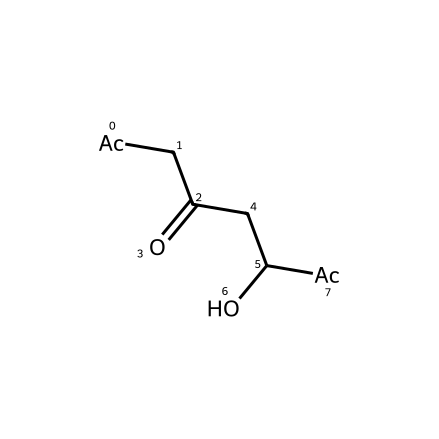 CC(=O)CC(=O)CC(O)C(C)=O